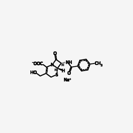 Cc1ccc(C(=O)N[C@H]2C(=O)N3C(C(=O)[O-])=C(CO)CS[C@@H]23)cc1.[Na+]